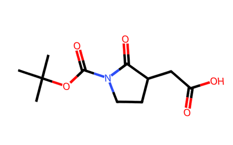 CC(C)(C)OC(=O)N1CCC(CC(=O)O)C1=O